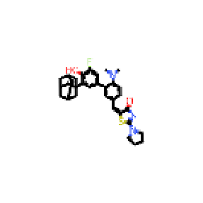 CN(C)c1ccc(/C=C2/SC(N3CCCC3)=NC2=O)cc1-c1cc(F)c(O)c(C23CC4CC(CC(C4)C2)C3)c1